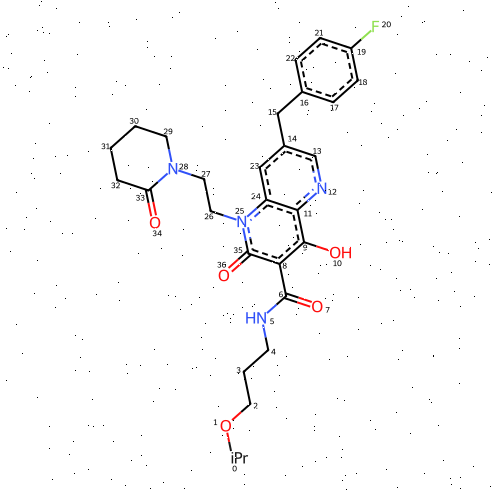 CC(C)OCCCNC(=O)c1c(O)c2ncc(Cc3ccc(F)cc3)cc2n(CCN2CCCCC2=O)c1=O